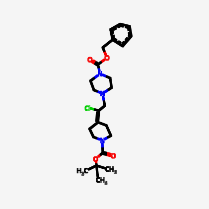 CC(C)(C)OC(=O)N1CCC(=C(Cl)CN2CCN(C(=O)OCc3ccccc3)CC2)CC1